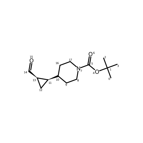 CC(C)(C)OC(=O)N1CCC([C@H]2C[C@H]2C=O)CC1